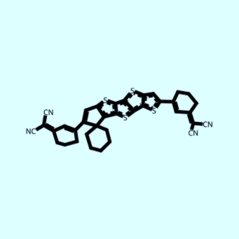 N#CC(C#N)=C1C=C(C2=Cc3sc4c(sc5c6sc(C7=CC(=C(C#N)C#N)CCC7)cc6sc45)c3C23CCCCC3)CCC1